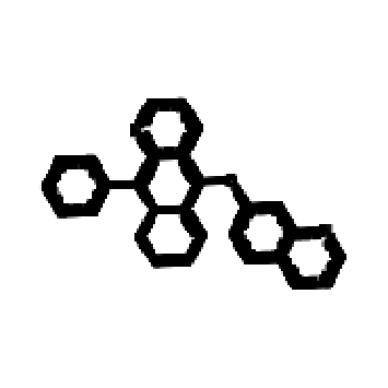 C1=CCC2C(=C1)C(Oc1ccc3cccnc3c1)=c1cccnc1=C2c1ccccc1